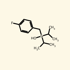 CC(C)[Si](O)(Cc1ccc(F)cc1)C(C)C